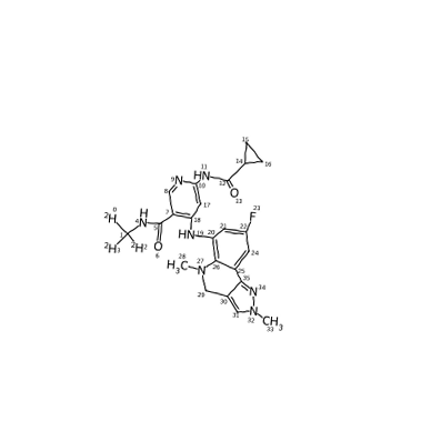 [2H]C([2H])([2H])NC(=O)c1cnc(NC(=O)C2CC2)cc1Nc1cc(F)cc2c1N(C)Cc1cn(C)nc1-2